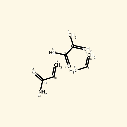 C=C(C)C(=O)O.C=CC.C=CC(N)=O